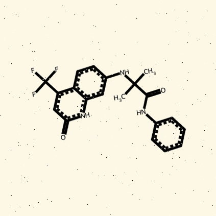 CC(C)(Nc1ccc2c(C(F)(F)F)cc(=O)[nH]c2c1)C(=O)Nc1ccccc1